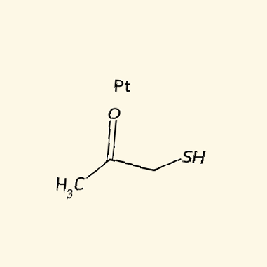 CC(=O)CS.[Pt]